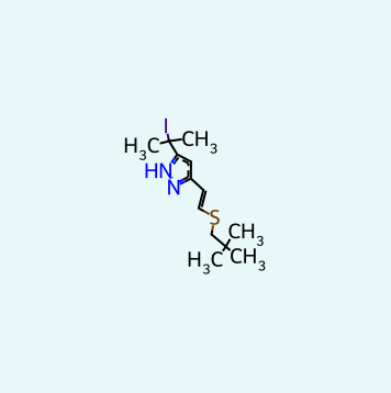 CC(C)(C)CS/C=C/c1cc(C(C)(C)I)[nH]n1